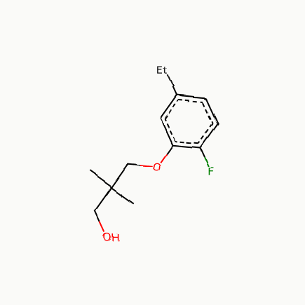 CCc1ccc(F)c(OCC(C)(C)CO)c1